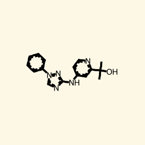 CC(C)(O)c1cc(Nc2ncn(-c3ccccc3)n2)ccn1